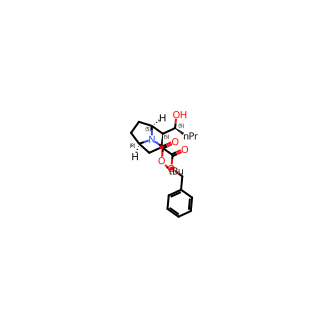 CCC[C@H](O)[C@H]1C(C(=O)OCc2ccccc2)C[C@H]2CC[C@@H]1N2C(=O)OC(C)(C)C